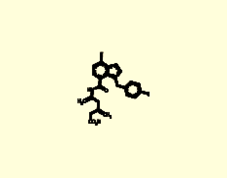 C=C(CC(=C)NC(=O)c1ccc(F)c2ccn(Cc3ccc(I)cc3)c12)CC(=O)O